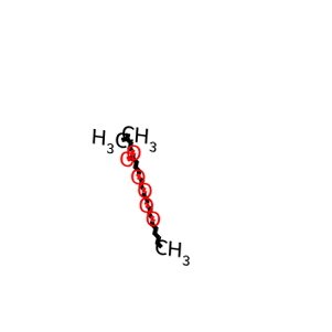 CCCCCCOCCOCCOCCOCCCC(=O)OCCC(C)C